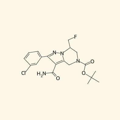 CC(C)(C)OC(=O)N1Cc2c(C(N)=O)c(-c3cccc(Cl)c3)nn2C(CF)C1